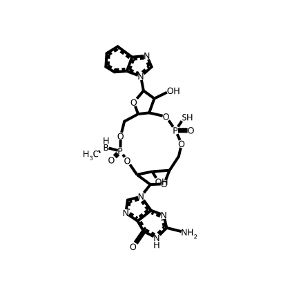 CBP1(=O)OCC2OC(n3cnc4ccccc43)C(O)C2OP(=O)(S)OCC2OC(n3cnc4c(=O)[nH]c(N)nc43)C(O1)C2O